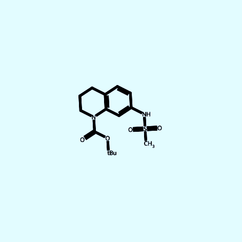 CC(C)(C)OC(=O)N1CCCc2ccc(NS(C)(=O)=O)cc21